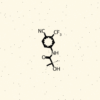 [CH2][C@@](C)(O)C(=O)Nc1ccc(C#N)c(C(F)(F)F)c1